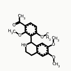 COc1cc2c(cc1OC)C(c1c(OC)ccc(C(C)=O)c1OC)NCC2